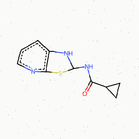 O=C(NC1Nc2cccnc2S1)C1CC1